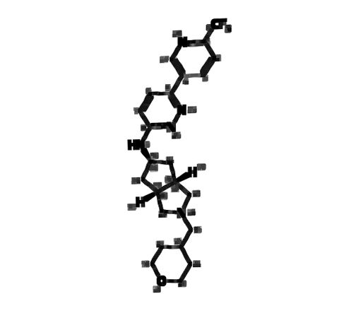 FC(F)(F)c1ccc(-c2ccc(N[C@H]3C[C@@H]4CN(CC5CCOCC5)C[C@@H]4C3)nn2)cn1